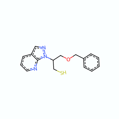 SCC(COCc1ccccc1)n1ncc2cccnc21